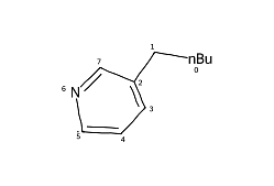 CCCCCc1cc[c]nc1